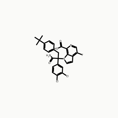 CC(C)(C)c1ccc(CC(C(N)=O)(c2ccc(Cl)c(Cl)c2)n2ccc3c(F)cnc(C(=O)O)c32)cc1